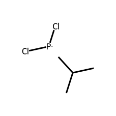 CC(C)C.Cl[P]Cl